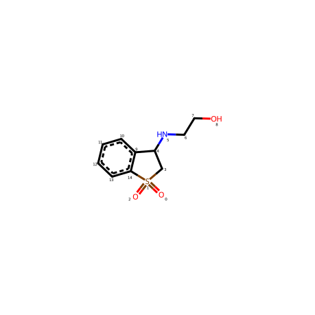 O=S1(=O)CC(NCCO)c2ccccc21